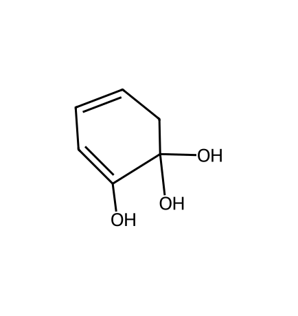 OC1=CC=CCC1(O)O